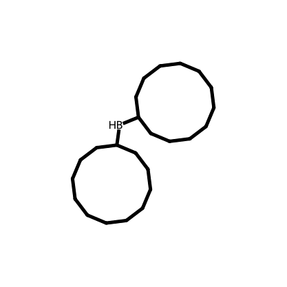 B(C1CCCCCCCCCCC1)C1CCCCCCCCCCC1